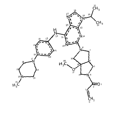 C=CC(=O)N1CC2CN(c3nc(Nc4ccc(N5CCN(C)CC5)cc4)c4ncn(C(C)C)c4n3)CC2(OC)C1